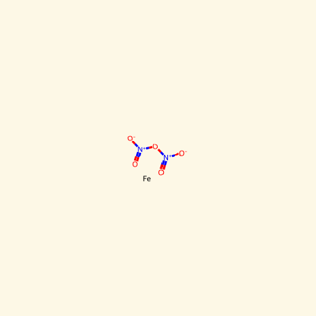 O=[N+]([O-])O[N+](=O)[O-].[Fe]